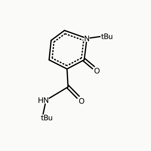 CC(C)(C)NC(=O)c1cccn(C(C)(C)C)c1=O